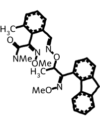 CNC(=O)C(=NOC)c1c(C)cccc1C=NOC(C)C(=NOC)c1cccc2c1-c1ccccc1C2